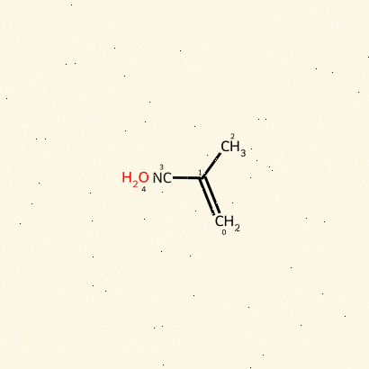 C=C(C)C#N.O